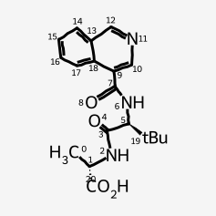 C[C@H](NC(=O)[C@@H](NC(=O)c1cncc2ccccc12)C(C)(C)C)C(=O)O